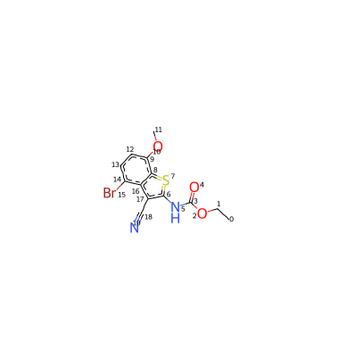 CCOC(=O)Nc1sc2c(OC)ccc(Br)c2c1C#N